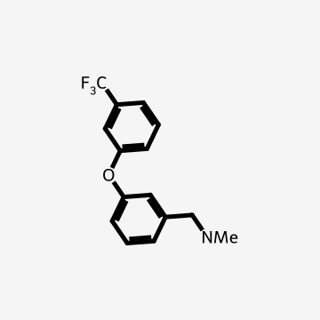 CNCc1cccc(Oc2cccc(C(F)(F)F)c2)c1